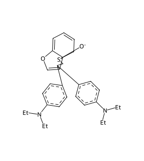 CCN(CC)c1ccc(C2(c3ccc(N(CC)CC)cc3)C[S+]([O-])C34CC=CC=C3OC=C24)cc1